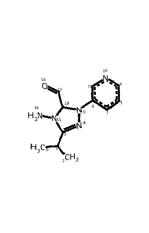 CC(C)C1=NN(c2cccnc2)C(C=O)N1N